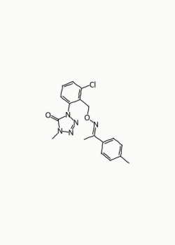 CC(=NOCc1c(Cl)cccc1-n1nnn(C)c1=O)c1ccc(C)cc1